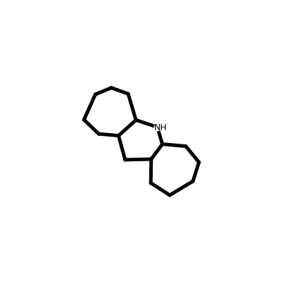 C1CCC2CC3CCCCCC3NC2CC1